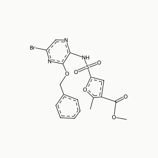 COC(=O)c1cc(S(=O)(=O)Nc2ncc(Br)nc2OCc2ccccc2)oc1C